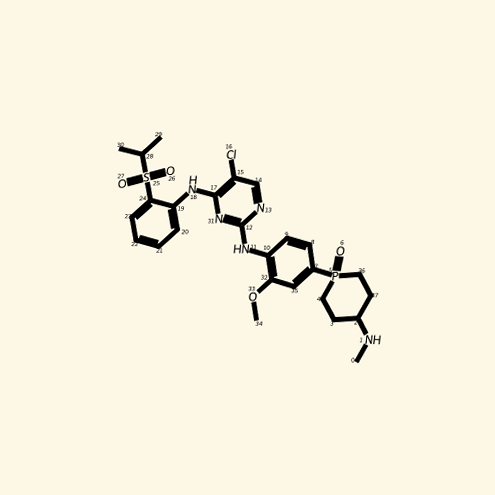 CNC1CCP(=O)(c2ccc(Nc3ncc(Cl)c(Nc4ccccc4S(=O)(=O)C(C)C)n3)c(OC)c2)CC1